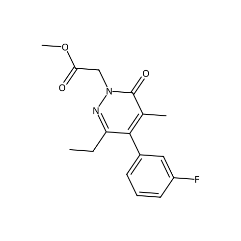 CCc1nn(CC(=O)OC)c(=O)c(C)c1-c1cccc(F)c1